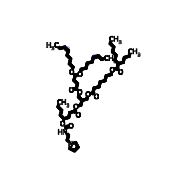 CC/C=C\CCCCOC(CCC(=O)OCC(COC(=O)CCCCCCOC(=O)C(CCCC)CCCCCC)COC(=O)CCC(CCCC)OC(=O)NCCN1CCCC1)OCCCC/C=C\CC